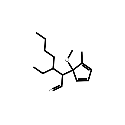 CCCCC(CC)C(C=O)C1(OC)C=CC=C1C